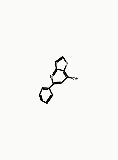 Oc1cc(-c2ccccc2)nc2ccsc12